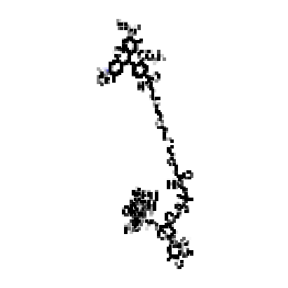 CC/N=c1/cc2oc3cc(NCC)c(C)cc3c(-c3ccc(C(=O)NCCOCCOCCOCCOCCC(=O)NCC(C)(C)SSCOC4C[C@H](n5cc(C)c(=O)[nH]c5=O)O[C@@H]4COP(=O)(O)OP(=O)(O)OP(=O)(O)O)cc3C(=O)O)c-2cc1C